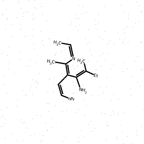 C\C=N/C(C)=C(/C=C\CCC)C(\N)=C(/C)CC